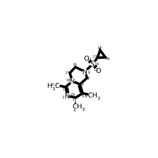 CC1=N[C@@H](C)C(C)=C2CN(S(=O)(=O)C3CC3)CCN12